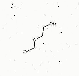 OCCO[CH]Cl